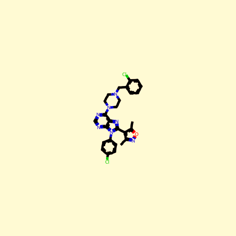 Cc1noc(C)c1-c1nc2c(N3CCN(Cc4ccccc4Cl)CC3)ncnc2n1-c1ccc(Cl)cc1